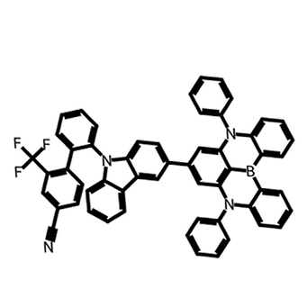 N#Cc1ccc(-c2ccccc2-n2c3ccccc3c3cc(-c4cc5c6c(c4)N(c4ccccc4)c4ccccc4B6c4ccccc4N5c4ccccc4)ccc32)c(C(F)(F)F)c1